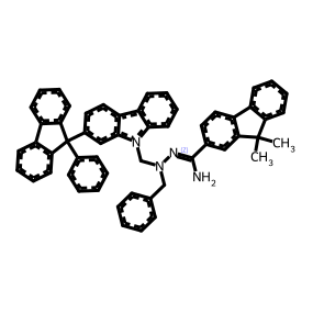 CC1(C)c2ccccc2-c2ccc(/C(N)=N/N(Cc3ccccc3)Cn3c4ccccc4c4ccc(C5(c6ccccc6)c6ccccc6-c6ccccc65)cc43)cc21